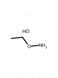 CCON.Cl